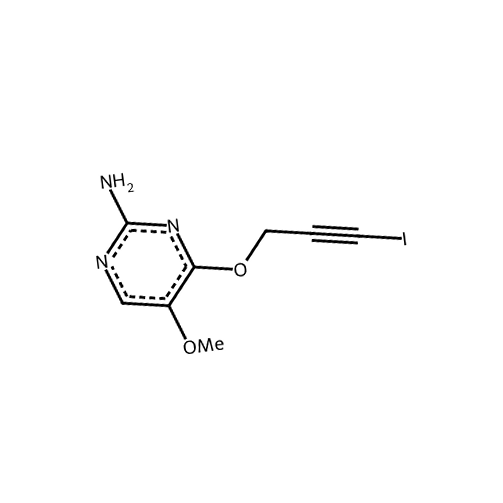 COc1cnc(N)nc1OCC#CI